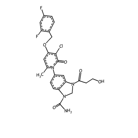 Cc1cc(OCc2ccc(F)cc2F)c(Cl)c(=O)n1-c1ccc2c(c1)N(C(=O)CCO)CN2C(N)=O